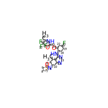 Cc1cc(N=S2(=O)CCC2)cc2ncnc(Nc3ccc(F)cc3OCC(=O)NC(C)C(F)(F)F)c12